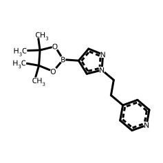 CC1(C)OB(c2cnn(CCc3ccncc3)c2)OC1(C)C